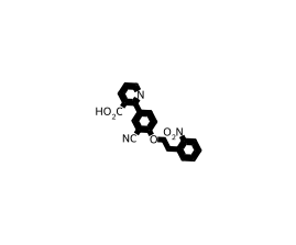 N#Cc1cc(-c2ncccc2C(=O)O)ccc1OCCc1ccccc1[N+](=O)[O-]